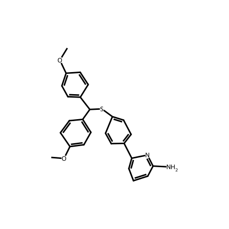 COc1ccc(C(Sc2ccc(-c3cccc(N)n3)cc2)c2ccc(OC)cc2)cc1